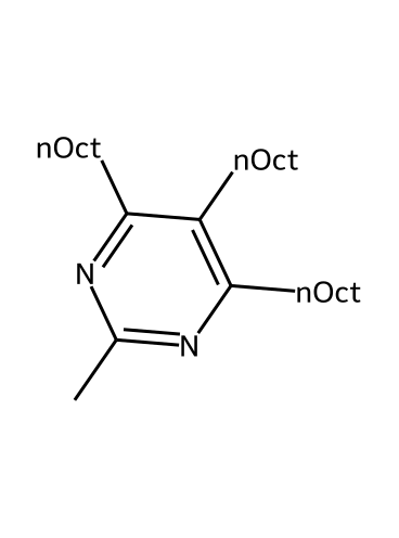 CCCCCCCCc1nc(C)nc(CCCCCCCC)c1CCCCCCCC